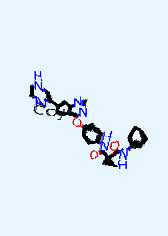 O=C(O)N1CCNCC1c1ccc2c(Oc3ccc(NC(=O)C4(C(=O)Nc5ccccc5)CC4)cc3)ncnc2c1